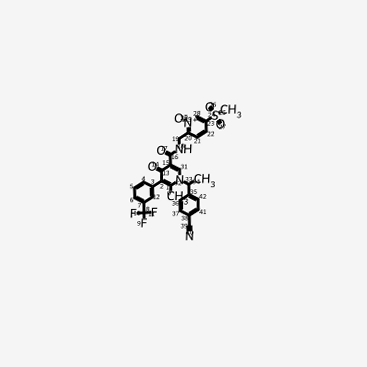 Cc1c(-c2cccc(C(F)(F)F)c2)c(=O)c(C(=O)NCc2ccc(S(C)(=O)=O)c[n+]2[O-])cn1C(C)c1ccc(C#N)cc1